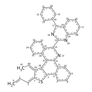 C=C/C=c1/sc2c3ccccc3c3nc(-c4nc(-c5ccccc5)c5ccccc5n4)c4ccccc4c3c2/c1=C/C